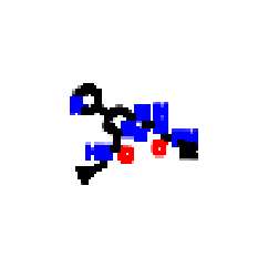 CCNC(=O)Nc1nc2cc(-c3cccnc3)cc(C(=O)NCC3CC3)n2n1